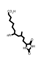 CCCC(CCCCCCC(=O)O)CC(C)CCC1NC(=O)NC1=O